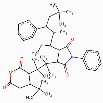 CCC(C(C)C(CC(C)(C)C)c1ccccc1)C1C(=O)N(c2ccccc2)C(=O)C1C(C)(C)C(C)(C)C1C(=O)OC(=O)CC1C(C)(C)C